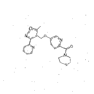 Cc1onc(-c2ccccn2)c1COc1ccc(C(=O)N2CCSCC2)nc1